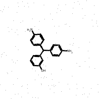 Nc1ccc(C(c2ccc(N)cc2)c2cccc(O)c2)cc1